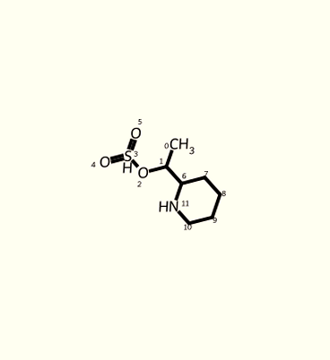 CC(O[SH](=O)=O)C1CCCCN1